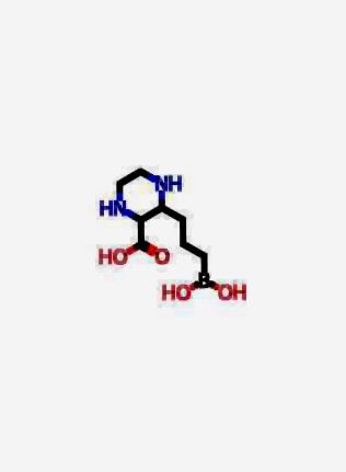 O=C(O)C1NCCNC1CCCB(O)O